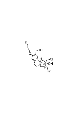 CC(C)C[C@@H]1CN2CCc3cc(OCCCF)c(CO)cc3[C@H]2C[C@]1(O)CCl